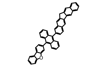 c1ccc2cc3c(cc2c1)Cc1cc2cc(-c4c5ccccc5c(-c5ccc6c(c5)oc5ccccc56)c5ccccc45)ccc2cc1-3